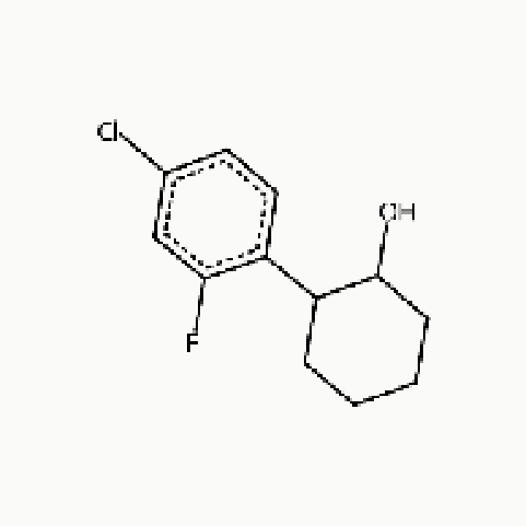 OC1CCCCC1c1ccc(Cl)cc1F